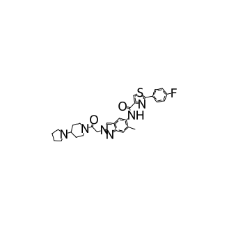 Cc1cc2nn(CC(=O)N3CCC(N4CCCC4)CC3)cc2cc1NC(=O)c1csc(-c2ccc(F)cc2)n1